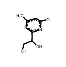 Cc1cc(Cl)nc(C(O)CO)n1